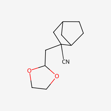 N#CC1(CC2OCCO2)CC2CCC1C2